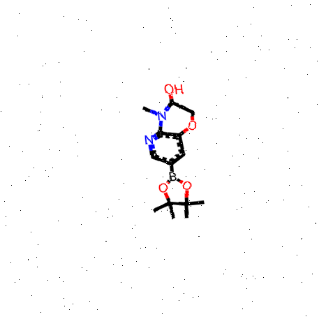 CN1c2ncc(B3OC(C)(C)C(C)(C)O3)cc2OCC1O